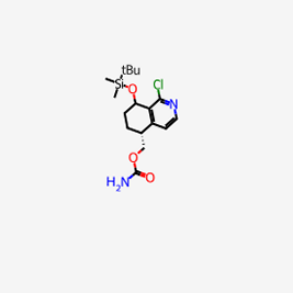 CC(C)(C)[Si](C)(C)OC1CC[C@@H](COC(N)=O)c2ccnc(Cl)c21